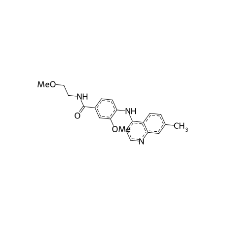 COCCNC(=O)c1ccc(Nc2ccnc3cc(C)ccc23)c(OC)c1